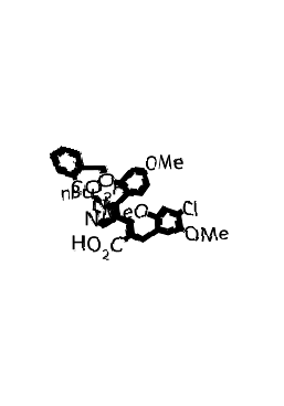 CCCCn1ncc(C=C(Cc2cc(OC)c(Cl)cc2OC)C(=O)O)c1-c1ccc(OC)cc1OCc1ccccc1C(=O)O